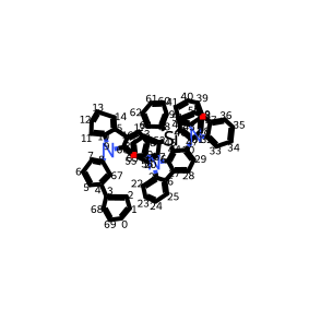 c1ccc(-c2cccc(-n3c4ccccc4c4ccc(-n5c6ccccc6c6ccc(-n7c8ccccc8c8ccccc87)c([Si](c7ccccc7)(c7ccccc7)c7ccccc7)c65)cc43)c2)cc1